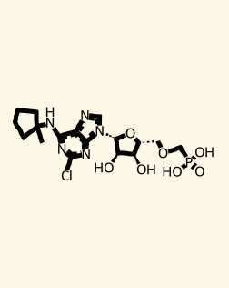 CC1(Nc2nc(Cl)nc3c2ncn3[C@@H]2O[C@H](COCP(=O)(O)O)[C@@H](O)[C@H]2O)CCCC1